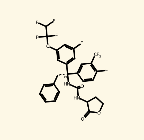 O=C(NC1CCOC1=O)N[C@@](Cc1ccccc1)(c1cc(F)cc(OC(F)(F)C(F)F)c1)c1ccc(F)c(C(F)(F)F)c1